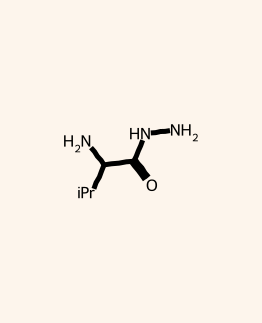 CC(C)C(N)C(=O)NN